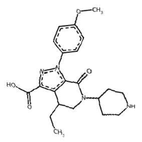 CCC1CN(C2CCNCC2)C(=O)c2c1c(C(=O)O)nn2-c1ccc(OC)cc1